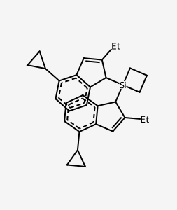 CCC1=Cc2c(C3CC3)cccc2C1[Si]1(C2C(CC)=Cc3c(C4CC4)cccc32)CCC1